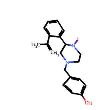 C=C(C)c1ccccc1C1CN(Cc2ccc(O)cc2)CCN1I